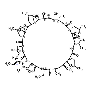 C/C=C/C[C@@H](C)[C@@H](O)[C@H]1C(=O)N[C@@H](CC)C(=O)N(C)CC(=O)N(C)[C@@H](CC(C)C)C(=O)N[C@@H](C(C)C)C(=O)N(C)[C@@H](CC(C)C)C(=O)N[C@@H](C)[C@@H](O)N[C@H](C)C(=O)N(C)C(CC(C)C)C(=O)N(C)[C@@H](CC(C)C)C(=O)N(C)[C@@H](C(C)C)C(=O)N1C